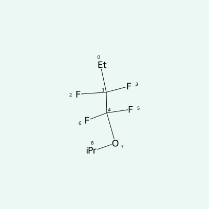 CCC(F)(F)C(F)(F)OC(C)C